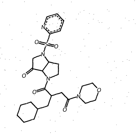 O=C1CN(S(=O)(=O)c2ccccn2)C2CCN(C(=O)C(CC(=O)N3CCOCC3)CC3CCCCC3)C12